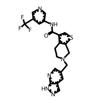 O=C(Nc1cncc(C(F)(F)F)c1)c1csc2c1CCN(Cc1cnc3[nH]ncc3c1)C2